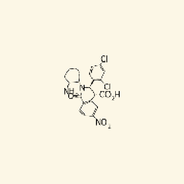 N[C@H]1CCCC[C@@H]1N1C(=O)c2ccc([N+](=O)[O-])cc2[C@@H](C(=O)O)[C@@H]1c1ccc(Cl)cc1Cl